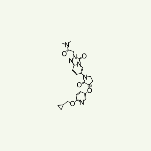 CN(C)C(=O)Cn1nc2ccc(N3CC[C@@H](Oc4ccc(OCC5CC5)nc4)C3=O)cn2c1=O